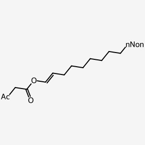 CCCCCCCCCCCCCCCCC=COC(=O)CC(C)=O